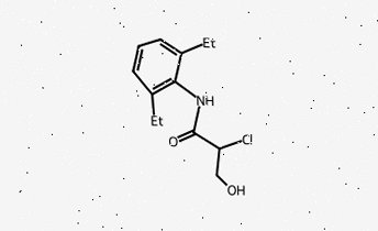 CCc1cccc(CC)c1NC(=O)C(Cl)CO